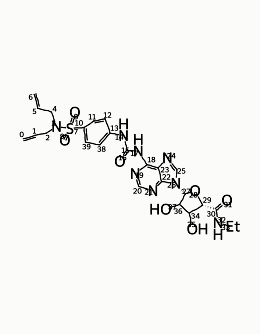 C=CCN(CC=C)S(=O)(=O)c1ccc(NC(=O)Nc2ncnc3c2ncn3[C@@H]2O[C@H](C(=O)NCC)C(O)C2O)cc1